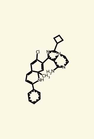 CC12C=C(c3nc(C4CCC4)n4ccnc(N)c34)C(Cl)=CC1=CC=C(c1ccccc1)N2